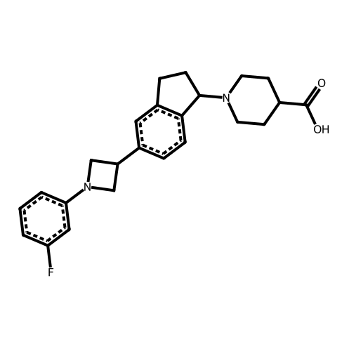 O=C(O)C1CCN(C2CCc3cc(C4CN(c5cccc(F)c5)C4)ccc32)CC1